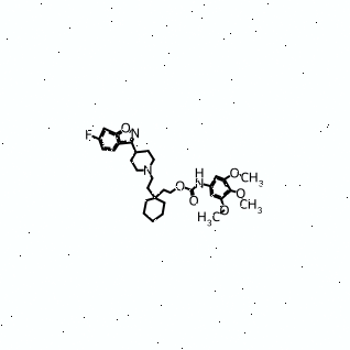 COc1cc(NC(=O)OCCC2(CCN3CCC(c4noc5cc(F)ccc45)CC3)CCCCC2)cc(OC)c1OC